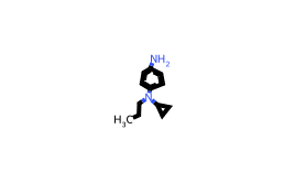 CCCN(c1ccc(N)cc1)C1CC1